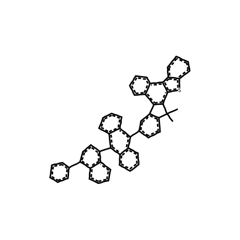 CC1(C)c2ccc(-c3c4ccccc4c(-c4ccc(-c5ccccc5)c5ccccc45)c4ccccc34)cc2-c2c1c1sc3ccccc3c1c1ccccc21